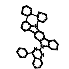 c1ccc(-c2nc(-n3c4ccccc4c4cc5c(cc43)c3cccc4c3n5-c3ccccc3-c3ccccc3-4)nc3ccccc23)cc1